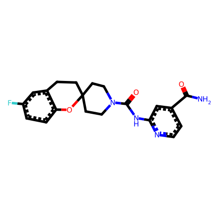 NC(=O)c1ccnc(NC(=O)N2CCC3(CCc4cc(F)ccc4O3)CC2)c1